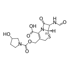 O=CNC1C(=O)N2C(C(=O)O)=C(COC(=O)N3CCC(O)C3)CS[C@@H]12